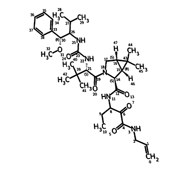 C=CCNC(=O)C(=O)C(CC)NC(=O)[C@@H]1[C@@H]2[C@H](CN1C(=O)[C@@H](NC(=O)NC(C(C)C)[C@H](OC)c1ccccc1)C(C)(C)C)C2(C)C